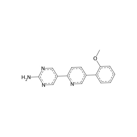 COc1ccccc1-c1ccc(-c2cnc(N)nc2)nc1